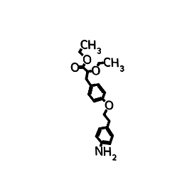 CCOC(=O)C(Cc1ccc(OCCc2ccc(N)cc2)cc1)OCC